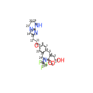 O=C(O)C[C@@H]1Cc2ccc(OCCc3cn4c(n3)NCCC4)cc2CN(C(F)(F)F)C1=O